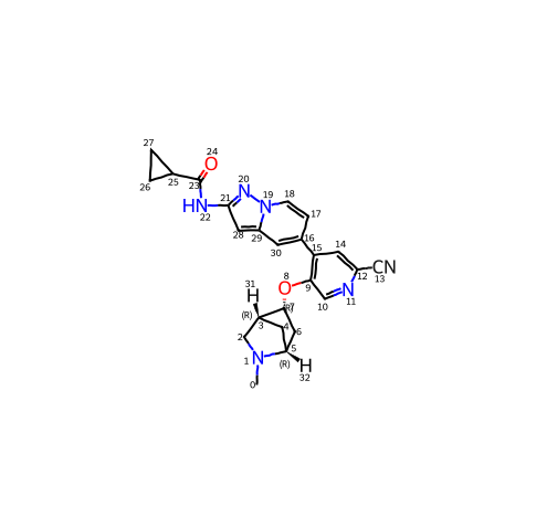 CN1C[C@H]2C[C@@H]1C[C@H]2Oc1cnc(C#N)cc1-c1ccn2nc(NC(=O)C3CC3)cc2c1